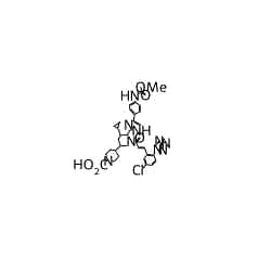 COC(=O)Nc1ccc(-c2c[nH]c(C3C(C4CC4)CC(C4CCN(C(=O)O)CC4)CN3C(=O)C=Cc3cc(Cl)ccc3-n3cnnn3)n2)cc1